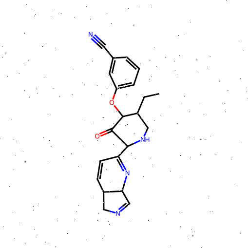 CCC1CNC(C2=NC3C=NCC3C=C2)C(=O)C1Oc1cccc(C#N)c1